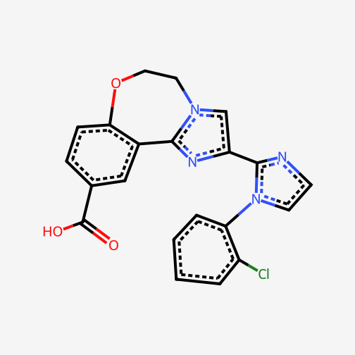 O=C(O)c1ccc2c(c1)-c1nc(-c3nccn3-c3ccccc3Cl)cn1CCO2